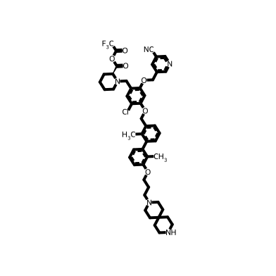 Cc1c(COc2cc(OCc3cncc(C#N)c3)c(CN3CCCC[C@H]3C(=O)OC(=O)C(F)(F)F)cc2Cl)cccc1-c1cccc(OCCCN2CCC3(CCNCC3)CC2)c1C